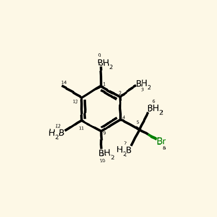 Bc1c(B)c(C(B)(B)Br)c(B)c(B)c1C